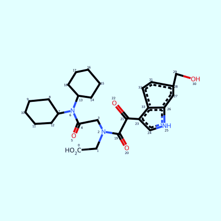 O=C(O)CN(CC(=O)N(C1CCCCC1)C1CCCCC1)C(=O)C(=O)c1c[nH]c2cc(CO)ccc12